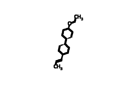 C/C=C/[C@H]1CC[C@H]([C@H]2CC[C@H](OCC)CC2)CC1